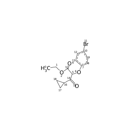 CCOC(=O)C(Oc1ccc(Br)cc1)C(=O)C1CC1